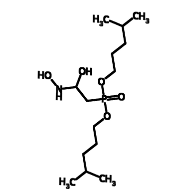 CC(C)CCCOP(=O)(CC(O)NO)OCCCC(C)C